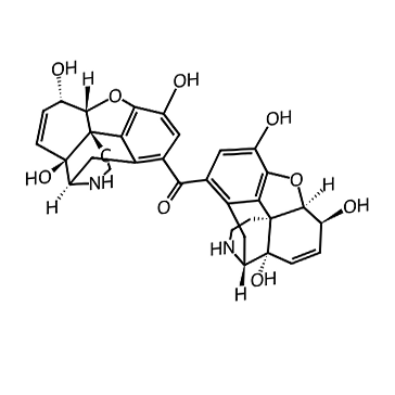 O=C(c1cc(O)c2c3c1C[C@H]1NCC[C@@]34[C@@H](O2)[C@@H](O)C=C[C@@]14O)c1cc(O)c2c3c1C[C@H]1NCC[C@@]34[C@@H](O2)[C@@H](O)C=C[C@@]14O